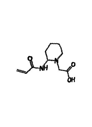 C=CC(=O)NC1CCCCN1CC(=O)O